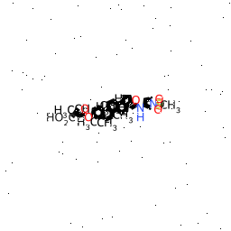 CC(C)(CC(=O)O[C@H]1CC[C@@]2(C)C(CC[C@]3(C)C2CC[C@@H]2[C@H]4CCC[C@]4(CC(=O)N[C@@H]4CCN(S(C)(=O)=O)C4)CC[C@]23C)C1(C)C)C(=O)O